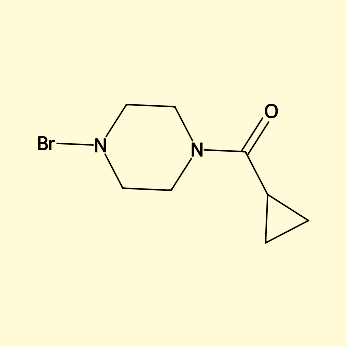 O=C(C1CC1)N1CCN(Br)CC1